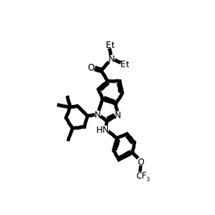 CCN(CC)C(=O)c1ccc2nc(Nc3ccc(OC(F)(F)F)cc3)n(C3CC(C)CC(C)(C)C3)c2c1